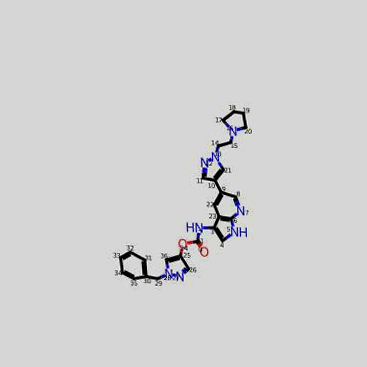 O=C(Nc1c[nH]c2ncc(-c3cnn(CCN4CCCC4)c3)cc12)Oc1cnn(Cc2ccccc2)c1